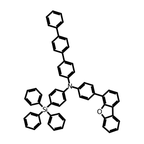 c1ccc(-c2ccc(-c3ccc(N(c4ccc(-c5cccc6c5oc5ccccc56)cc4)c4ccc([Si](c5ccccc5)(c5ccccc5)c5ccccc5)cc4)cc3)cc2)cc1